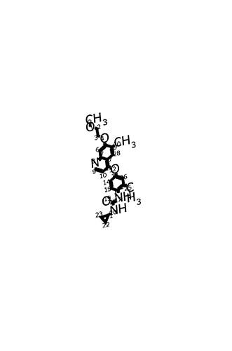 COCCOc1cc2nccc(Oc3ccc(NC(=O)NC4CC4)c(C)c3)c2cc1C